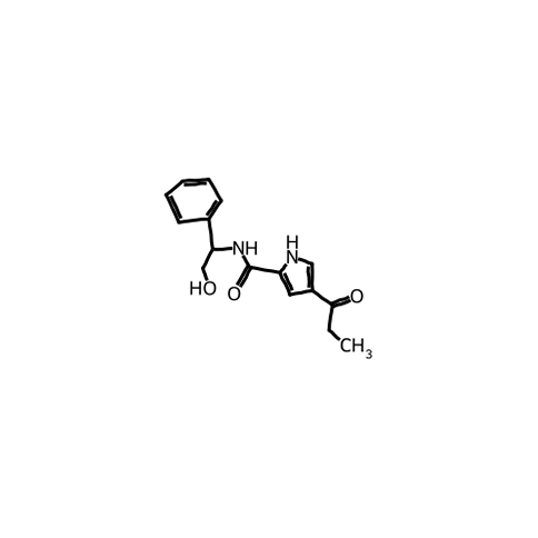 CCC(=O)c1c[nH]c(C(=O)NC(CO)c2ccccc2)c1